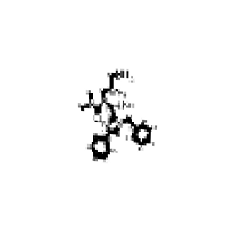 CN(C)C(=O)N(C[C@H](F)CN)[C@@H](c1nc(-c2ccccc2)cn1Cc1ccccc1)C(C)(C)C